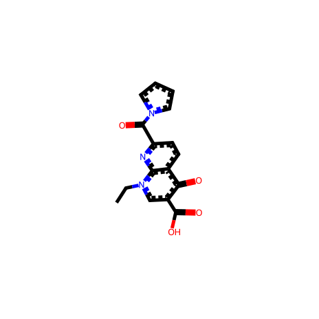 CCn1cc(C(=O)O)c(=O)c2ccc(C(=O)n3cccc3)nc21